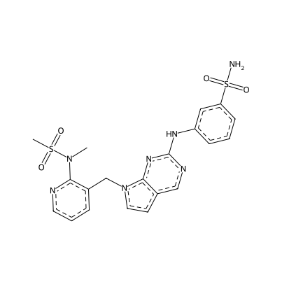 CN(c1ncccc1Cn1ccc2cnc(Nc3cccc(S(N)(=O)=O)c3)nc21)S(C)(=O)=O